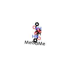 COc1ccc(C(=O)NC[C@H]2OC[C@]3(CNC(=O)c4ccccc4)OC(C)(C)O[C@H]23)cc1OC